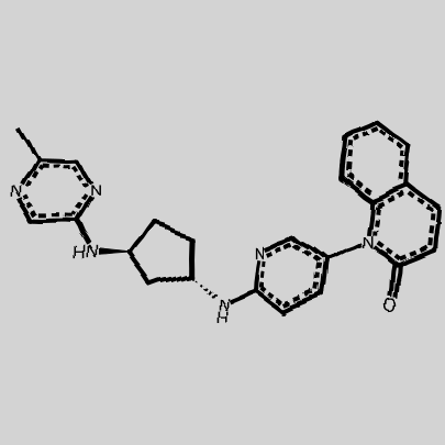 Cc1cnc(N[C@H]2CC[C@H](Nc3ccc(-n4c(=O)ccc5ccccc54)cn3)C2)cn1